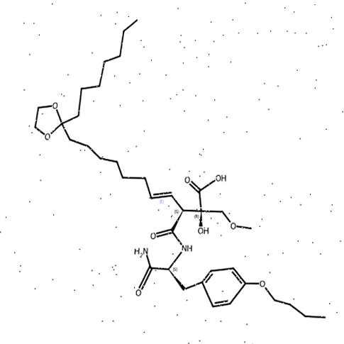 CCCCCCCC1(CCCCCC/C=C/[C@H](C(=O)N[C@@H](Cc2ccc(OCCCC)cc2)C(N)=O)[C@@](O)(COC)C(=O)O)OCCO1